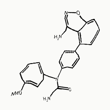 COc1cccc(N(C(N)=O)c2ccc(-c3cccc4onc(N)c34)cc2)c1